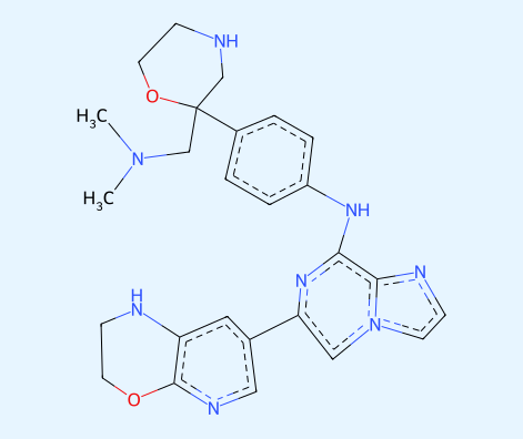 CN(C)CC1(c2ccc(Nc3nc(-c4cnc5c(c4)NCCO5)cn4ccnc34)cc2)CNCCO1